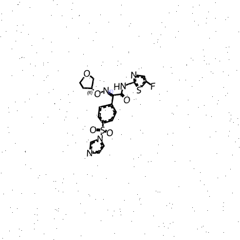 O=C(Nc1ncc(F)s1)/C(=N/O[C@@H]1CCOC1)c1ccc(S(=O)(=O)n2ccnc2)cc1